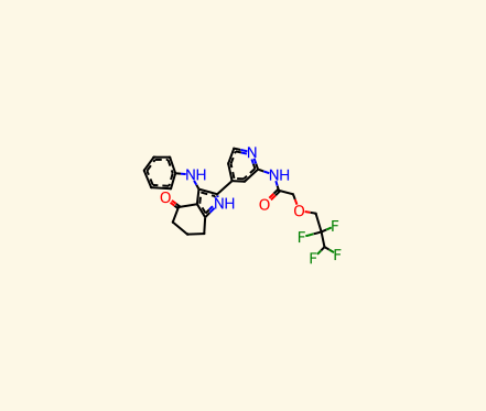 O=C(COCC(F)(F)C(F)F)Nc1cc(-c2[nH]c3c(c2Nc2ccccc2)C(=O)CCC3)ccn1